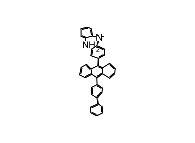 CN(c1ccc(-c2c3ccccc3c(-c3ccc(-c4ccccc4)cc3)c3ccccc23)cc1)c1ccccc1N